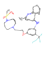 Cc1cc(Nc2cc(OCCN3CCCN(S(C)(=O)=O)CC3)cc(C(F)(F)F)c2)c2ccccc2n1